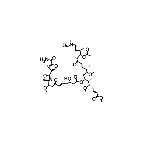 COC(=O)/C=C/C[C@H](OC)[C@@H](C)[C@H](C[C@H](OC)[C@@H](C)CCC(=O)[C@H](C)[C@H](OC(C)=O)[C@H](C)/C=C/N(C)C=O)OC(=O)C[C@@H](O)C/C=C/C(=O)[C@H](C)[C@H](OC)c1coc(-c2coc(C(N)=O)n2)n1